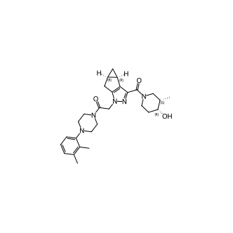 Cc1cccc(N2CCN(C(=O)Cn3nc(C(=O)N4CC[C@@H](O)[C@@H](C)C4)c4c3C[C@H]3C[C@@H]43)CC2)c1C